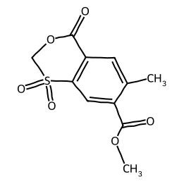 COC(=O)c1cc2c(cc1C)C(=O)OCS2(=O)=O